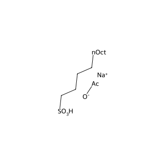 CC(=O)[O-].CCCCCCCCCCCCS(=O)(=O)O.[Na+]